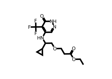 CCOC(=O)CCOCC(Nc1cn[nH]c(=O)c1C(F)(F)F)C1CC1